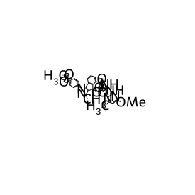 COc1cc(C)nc(NC(=O)NS(=O)(=O)c2cccc3c2C(=O)c2c(C)nn(-c4ccc(S(C)(=O)=O)cc4)c2-3)n1